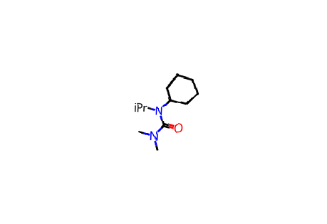 CC(C)N(C(=O)N(C)C)C1CCCCC1